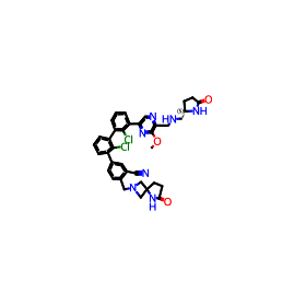 COc1nc(-c2cccc(-c3cccc(-c4ccc(CN5CC6(CCC(=O)N6)C5)c(C#N)c4)c3Cl)c2Cl)cnc1CNC[C@@H]1CCC(=O)N1